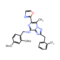 COc1ccc(CNc2nc(-c3ncco3)c(C)n3nc(Cc4ccccc4C(F)(F)F)nc23)c(OC)c1